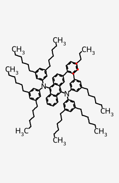 CCCCCCc1cc(CCCCCC)cc(N(c2cc(CCCCCC)cc(CCCCCC)c2)c2c3ccccc3c(N(c3cc(CCCCCC)cc(CCCCCC)c3)c3cc(CCCCCC)cc(CCCCCC)c3)c3cc(-c4ccccc4)ccc23)c1